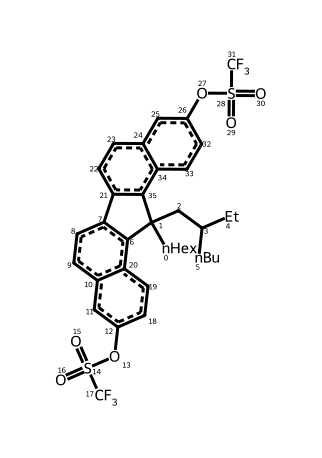 CCCCCCC1(CC(CC)CCCC)c2c(ccc3cc(OS(=O)(=O)C(F)(F)F)ccc23)-c2ccc3cc(OS(=O)(=O)C(F)(F)F)ccc3c21